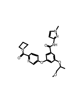 COCC(C)Oc1cc(Oc2ccc(C(=O)N3CCC3)nc2)cc(C(=O)Nc2ccn(C)n2)c1